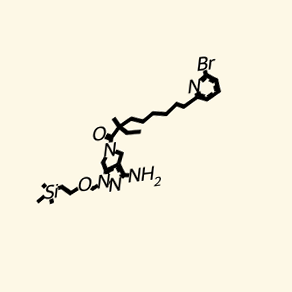 CCC(C)(CCCCCCc1cccc(Br)n1)C(=O)N1Cc2c(N)nn(COCC[Si](C)(C)C)c2C1